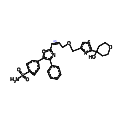 NS(=O)(=O)c1ccc(-c2oc(/C=C\COCc3csc(C4(O)CCOCC4)n3)nc2-c2ccccc2)cc1